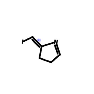 I/C=C1\CCC=N1